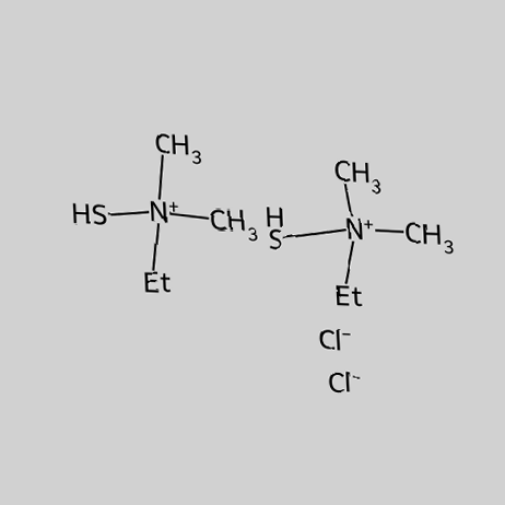 CC[N+](C)(C)S.CC[N+](C)(C)S.[Cl-].[Cl-]